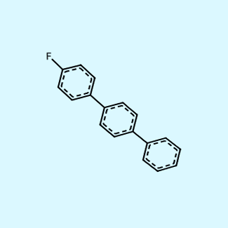 Fc1ccc(-c2ccc(-c3ccccc3)cc2)cc1